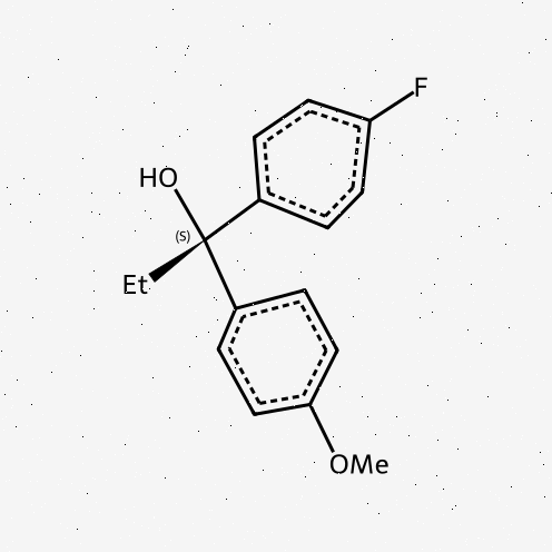 CC[C@@](O)(c1ccc(F)cc1)c1ccc(OC)cc1